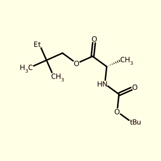 CCC(C)(C)COC(=O)[C@H](C)NC(=O)OC(C)(C)C